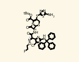 CC(C)(C)OC(=O)C1=C(Sc2nnc(N)s2)CSC2[C@H](NC(=O)/C(=N/OCCF)c3nc(NC(c4ccccc4)(c4ccccc4)c4ccccc4)sc3Cl)C(=O)N12